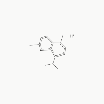 Cc1ccc2c(C)ccc(C(C)C)c2c1.[H+]